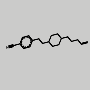 C=CCCCC1CCC(CCc2ccc(C#N)cc2)CC1